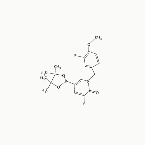 COc1ccc(Cn2cc(B3OC(C)(C)C(C)(C)O3)cc(F)c2=O)cc1F